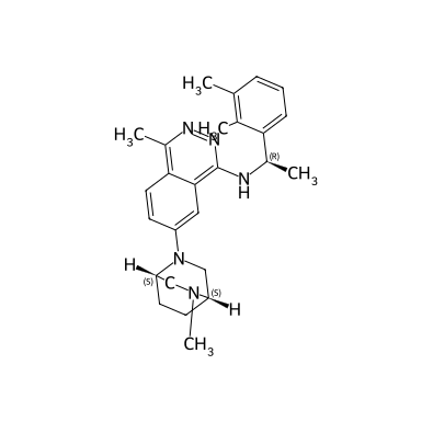 Cc1cccc([C@@H](C)Nc2nnc(C)c3ccc(N4C[C@@H]5CC[C@H]4CN5C)cc23)c1C